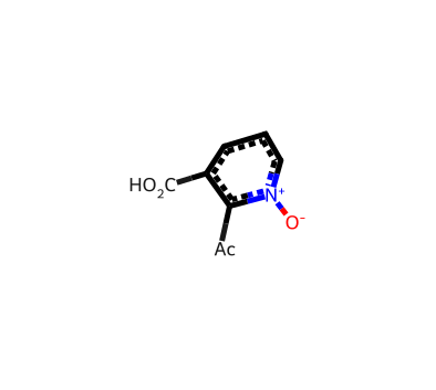 CC(=O)c1c(C(=O)O)ccc[n+]1[O-]